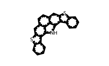 c1ccc2c(c1)sc1cc3ccc4cc5sc6ccccc6c5c5[nH]c(c12)c3c45